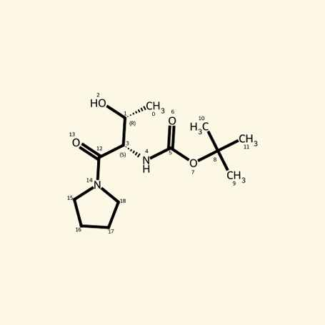 C[C@@H](O)[C@H](NC(=O)OC(C)(C)C)C(=O)N1CCCC1